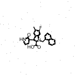 Cc1cc2c(-c3ccc[nH]c3=O)c(C(=O)O)n(Cc3cccc4ccccc34)c2cc1F